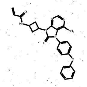 C=CC(=O)NC1CC(n2c(=O)n(-c3ccc(Oc4ccccc4)cc3)c3c(N)ncnc32)C1